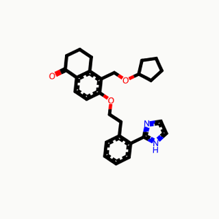 O=C1CCCc2c1ccc(OCCc1ccccc1-c1ncc[nH]1)c2COC1CCCC1